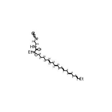 CCC=CCC=CCC=CCC=CCC=CCCCCOC(CC)C(=O)NCCN=C=O